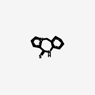 S=C1Nc2ccccc2Cn2cccc21